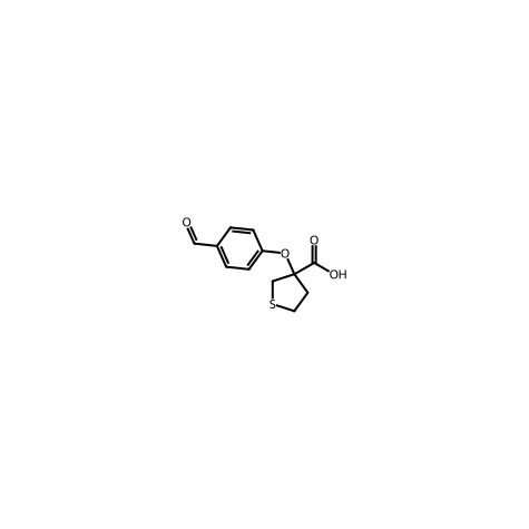 O=Cc1ccc(OC2(C(=O)O)CCSC2)cc1